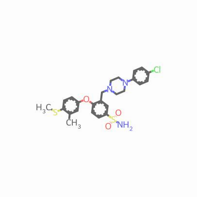 CSc1ccc(Oc2ccc(S(N)(=O)=O)cc2CN2CCN(c3ccc(Cl)cc3)CC2)cc1C